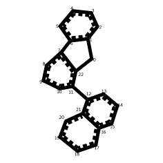 [CH]1c2ccccc2-c2cccc(-c3cccc4ccccc34)c21